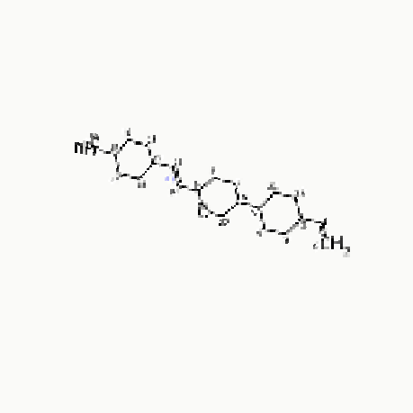 C=CC1CCC(C2CCC(/C=C/C3CCC(CCC)CC3)OC2)CC1